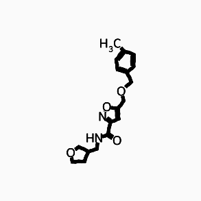 Cc1ccc(COCc2cc(C(=O)NCC3CCOC3)no2)cc1